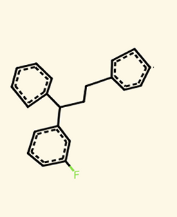 Fc1cccc(C(CCc2cc[c]cc2)c2ccccc2)c1